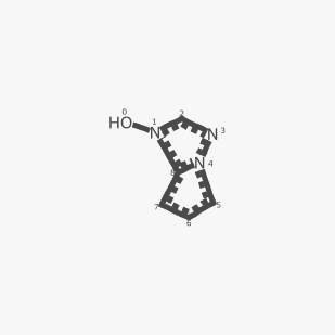 On1cnn2cccc12